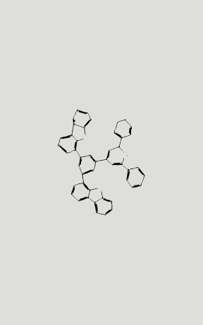 C1=CC(C2C=C(c3cc(-c4cccc5c4oc4ccccc45)cc(-c4cccc5c4oc4ccccc45)c3)C=C(c3ccccc3)N2)=CCC1